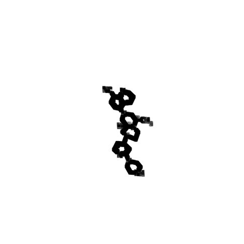 C[C@@H]1CN(c2ccc(C#N)c3ncccc23)C[C@@H]2CN(c3ccnc(N4CCNCC4)c3)CCN21